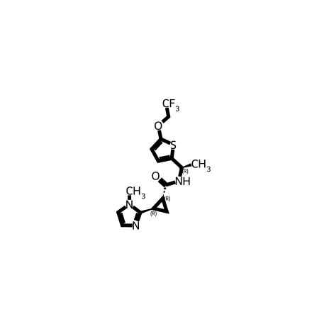 C[C@@H](NC(=O)[C@@H]1C[C@H]1c1nccn1C)c1ccc(OCC(F)(F)F)s1